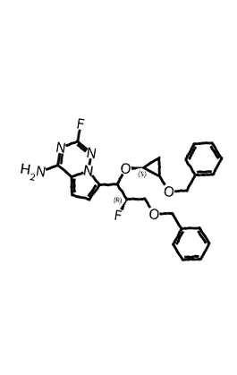 Nc1nc(F)nn2c(C(O[C@H]3CC3OCc3ccccc3)[C@H](F)COCc3ccccc3)ccc12